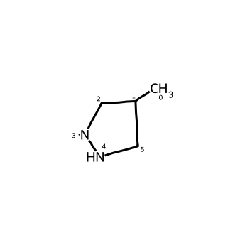 CC1C[N]NC1